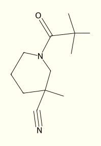 CC1(C#N)CCCN(C(=O)C(C)(C)C)C1